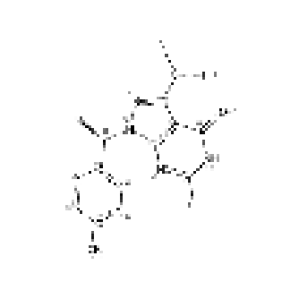 Cc1nc2c(c(C(F)F)nn2[C@H](C)c2ccc(C(F)(F)F)nc2)c(=O)[nH]1